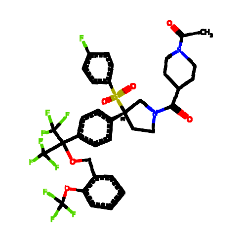 CC(=O)N1CCC(C(=O)N2CC[C@](c3ccc(C(OCc4ccccc4OC(F)(F)F)(C(F)(F)F)C(F)(F)F)cc3)(S(=O)(=O)c3ccc(F)cc3)C2)CC1